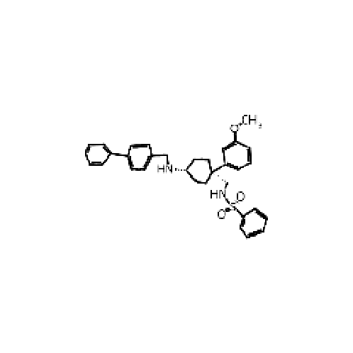 COc1cccc([C@]2(CNS(=O)(=O)c3ccccc3)CC[C@@H](NCc3ccc(-c4ccccc4)cc3)CC2)c1